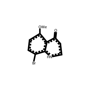 COc1ccc(Br)c2[nH]ccc(=O)c12